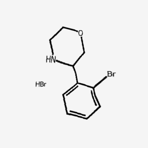 Br.Brc1ccccc1C1COCCN1